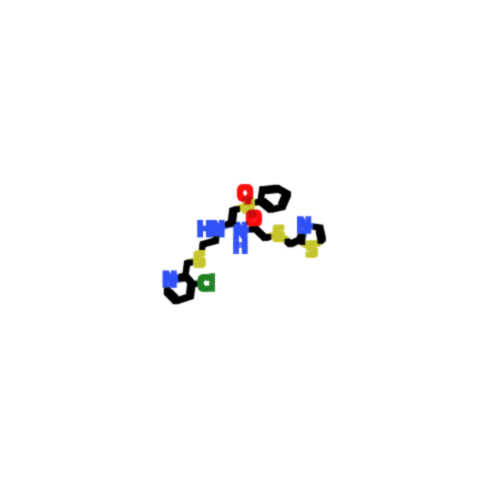 O=S(=O)(C=C(NCCSCc1nccs1)NCCSCc1ncccc1Cl)c1ccccc1